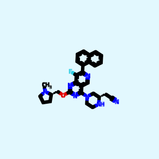 CN1CCC[C@H]1COc1nc(N2CCN[C@@H](CC#N)C2)c2cnc(-c3cccc4ccccc34)c(F)c2n1